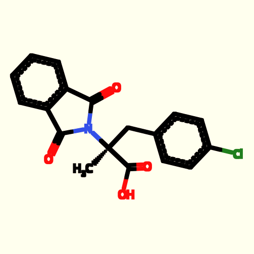 C[C@](Cc1ccc(Cl)cc1)(C(=O)O)N1C(=O)c2ccccc2C1=O